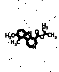 Cc1ccc2nc3c(C(=O)OC(C)C)cnccc-3c2c1C